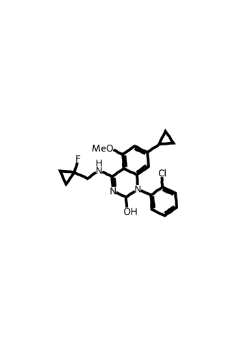 COc1cc(C2CC2)cc2c1C(NCC1(F)CC1)=NC(O)N2c1ccccc1Cl